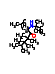 CC(C)C[C@H](NC(C)(C)C)C(=O)C(C)(C)C(C)(C)C(C)C